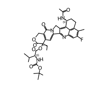 CC[C@@]1(OC(=O)[C@@H](NC(=O)OC(C)(C)C)C(C)C)C(=O)OCc2c1cc1n(c2=O)Cc2c-1nc1cc(F)c(C)c3c1c2[C@@H](NC(C)=O)CC3